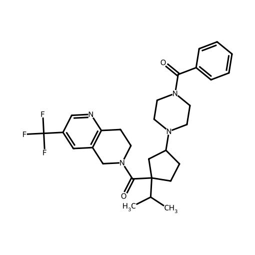 CC(C)C1(C(=O)N2CCc3ncc(C(F)(F)F)cc3C2)CCC(N2CCN(C(=O)c3ccccc3)CC2)C1